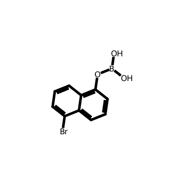 OB(O)Oc1cccc2c(Br)cccc12